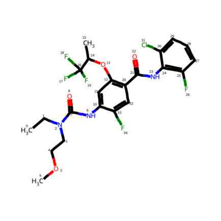 CCN(CCOC)C(=O)Nc1cc(OC(C)C(F)(F)F)c(C(=O)Nc2c(F)cccc2Cl)cc1F